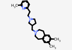 Cc1cccc(CCN2CCC(CN3CCc4cc(C)c(C)cc4CC3)C2)n1